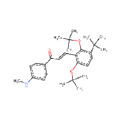 CNc1ccc(C(=O)/C=C/c2c(OC(C)(C)C)ccc(C(C)(C)C)c2OC(C)(C)C)cc1